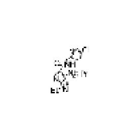 CCn1ncc2c(N[C@@H](C)C(C)C)c(C(=O)NCc3ccc(Cl)cn3)cnc21